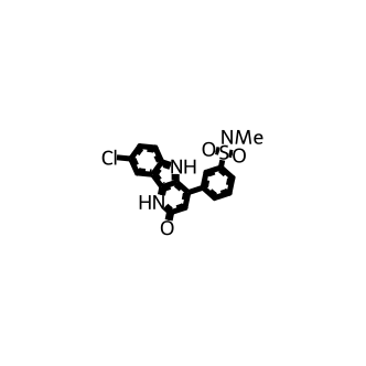 CNS(=O)(=O)c1cccc(-c2cc(=O)[nH]c3c2[nH]c2ccc(Cl)cc23)c1